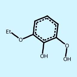 CCOc1cccc(OO)c1O